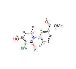 COC(=O)c1ccc(C)c(-n2c(C)cc(O)c(Br)c2=O)c1